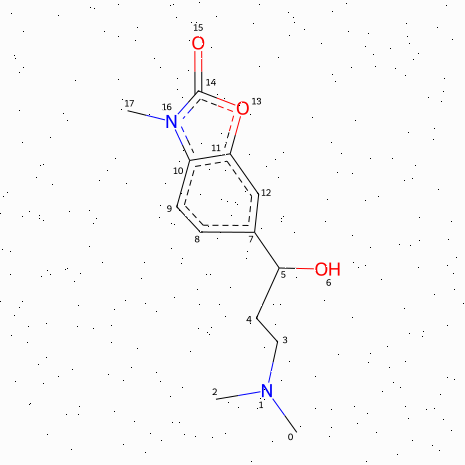 CN(C)CCC(O)c1ccc2c(c1)oc(=O)n2C